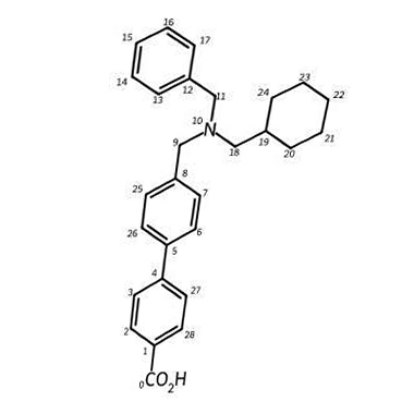 O=C(O)c1ccc(-c2ccc(CN(Cc3ccccc3)CC3CCCCC3)cc2)cc1